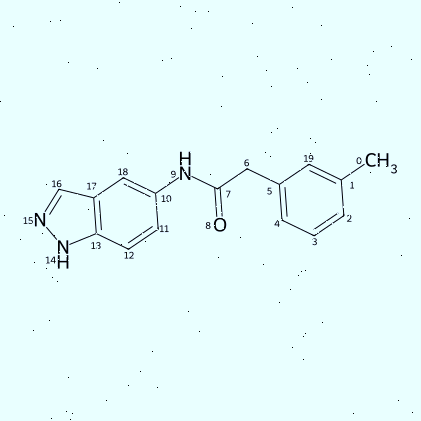 Cc1cccc(CC(=O)Nc2ccc3[nH]ncc3c2)c1